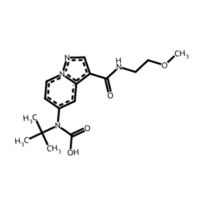 COCCNC(=O)c1cnn2ccc(N(C(=O)O)C(C)(C)C)cc12